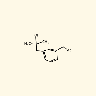 CC(=O)Cc1cccc(CC(C)(C)O)c1